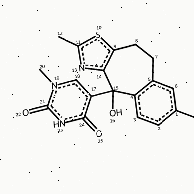 Cc1ccc2c(c1)CCc1sc(C)nc1C2(O)c1cn(C)c(=O)[nH]c1=O